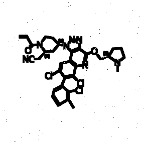 C=CC(=O)N1CC[C@H](n2nnc3c(OC[C@@H]4CCCN4C)nc4c(Cl)c(-c5cccc(C)c5Cl)c(Cl)cc4c32)C[C@H]1CC#N